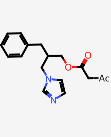 CC(=O)CC(=O)OCC(Cc1ccccc1)Cn1ccnc1